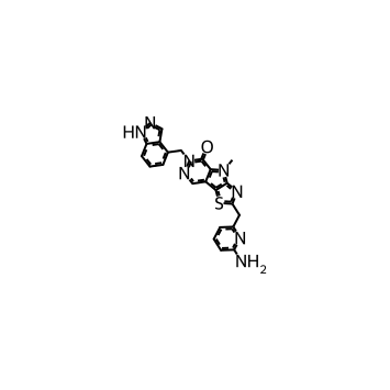 Cn1c2nc(Cc3cccc(N)n3)sc2c2cnn(Cc3cccc4[nH]ncc34)c(=O)c21